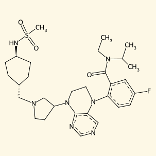 CCN(C(=O)c1cc(F)ccc1N1CCN(C2CCN(C[C@H]3CC[C@H](NS(C)(=O)=O)CC3)C2)c2ncncc21)C(C)C